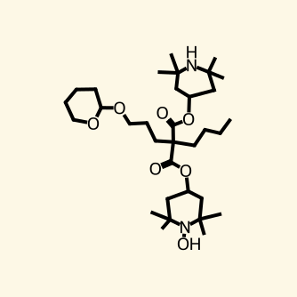 CCCCC(CCCOC1CCCCO1)(C(=O)OC1CC(C)(C)NC(C)(C)C1)C(=O)OC1CC(C)(C)N(O)C(C)(C)C1